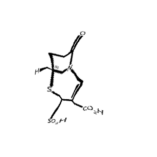 O=C(O)C1=CN2C(=O)C[C@H]2SC1S(=O)(=O)O